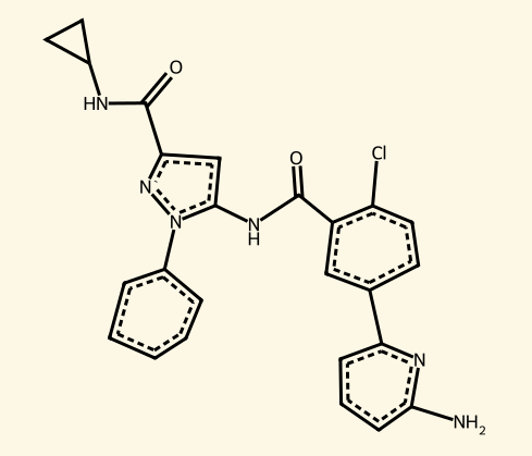 Nc1cccc(-c2ccc(Cl)c(C(=O)Nc3cc(C(=O)NC4CC4)nn3-c3ccccc3)c2)n1